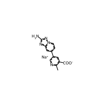 Cc1ncc(-c2ccn3nc(N)nc3c2)cc1C(=O)[O-].[Na+]